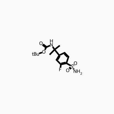 CC(C)(C)OC(=O)NC(C)(C)c1ccc(S(N)(=O)=O)c(F)c1